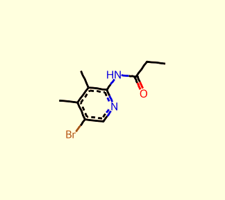 CCC(=O)Nc1ncc(Br)c(C)c1C